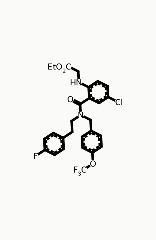 CCOC(=O)CNc1ccc(Cl)cc1C(=O)N(CCc1ccc(F)cc1)Cc1ccc(OC(F)(F)F)cc1